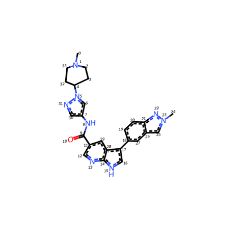 CN1CCC(n2cc(NC(=O)c3cnc4[nH]cc(-c5ccc6nn(C)cc6c5)c4c3)cn2)CC1